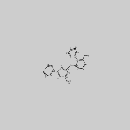 CCc1cccc(Cc2cc(O)nc(-c3ccccc3)n2)c1-c1ccccc1